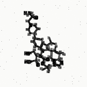 Cc1c(-c2c(C(C)C)c3cc(C4CCN(CC(N)=O)CC4)ccc3n2N(C(=O)OC(C)(C)C)C(CS)C(=O)O)cn2ncnc2c1C